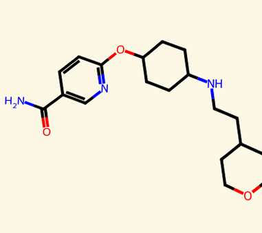 NC(=O)c1ccc(OC2CCC(NCCC3CCOCC3)CC2)nc1